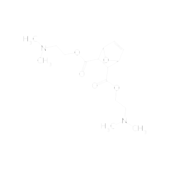 CN(C)CCOC(=O)C1C2C=CC(O2)C1C(=O)OCCN(C)C